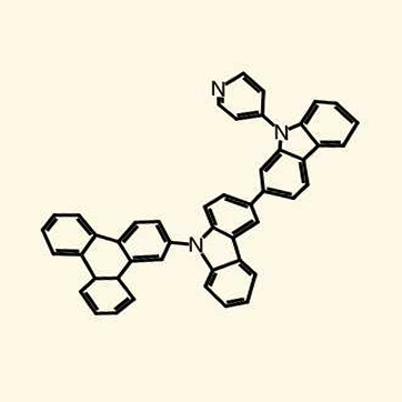 C1=CC2c3ccccc3-c3ccc(-n4c5ccccc5c5cc(-c6ccc7c8ccccc8n(-c8ccncc8)c7c6)ccc54)cc3C2C=C1